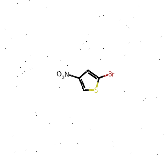 O=[N+]([O-])c1csc(Br)c1